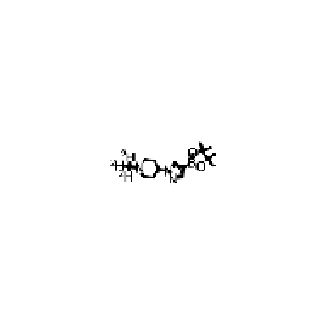 [2H]C([2H])([2H])N1CCC(n2cc(B3OC(C)(C)C(C)(C)O3)cn2)CC1